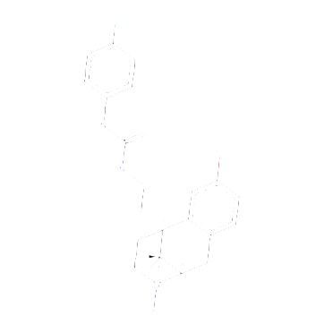 C[C@H]1[C@H]2Cc3ccc(O)cc3[C@]1(CCNC(=O)Nc1ccc(F)cc1)CCN2C